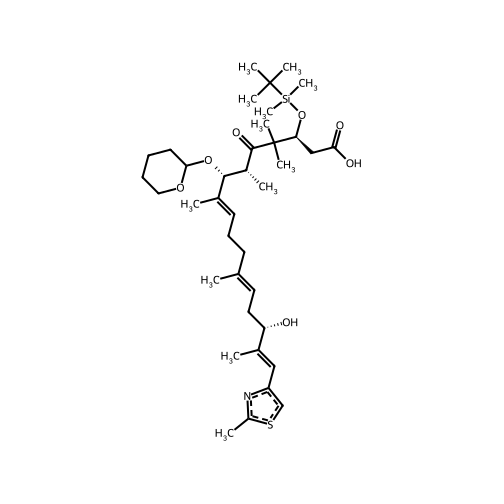 C/C(=C\C[C@H](O)/C(C)=C/c1csc(C)n1)CC/C=C(\C)[C@H](OC1CCCCO1)[C@@H](C)C(=O)C(C)(C)[C@H](CC(=O)O)O[Si](C)(C)C(C)(C)C